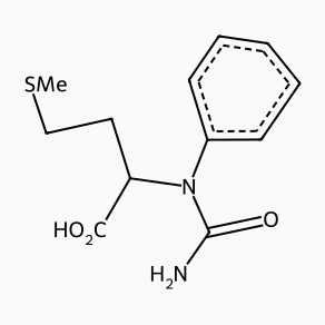 CSCCC(C(=O)O)N(C(N)=O)c1ccccc1